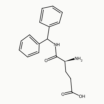 N[C@@H](CCC(=O)O)C(=O)NC(c1ccccc1)c1ccccc1